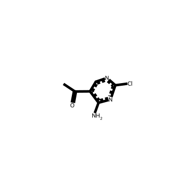 CC(=O)c1cnc(Cl)nc1N